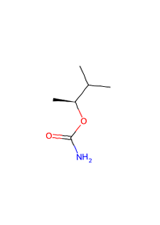 CC(C)[C@H](C)OC(N)=O